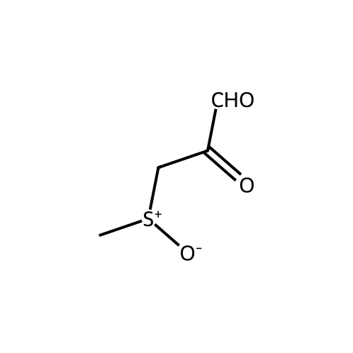 C[S+]([O-])CC(=O)C=O